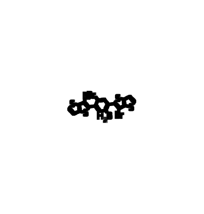 Bc1cc(-c2sc3ccsc3c2Br)c(Br)cc1-c1sc2ccsc2c1Br